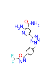 NC(=O)c1cc(-c2nnn(Cc3ccc(-c4nnc(C(F)F)o4)cc3)n2)cnc1N